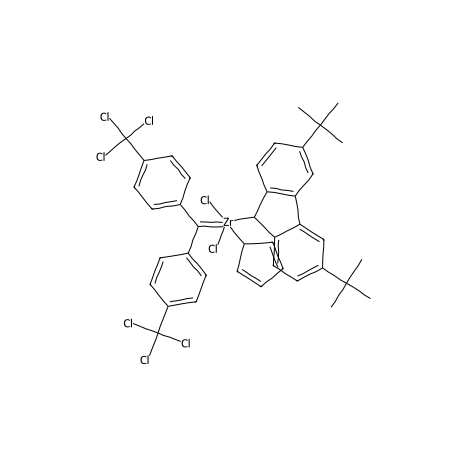 CC(C)(C)c1ccc2c(c1)-c1cc(C(C)(C)C)ccc1[CH]2[Zr]([Cl])([Cl])(=[C](c1ccc(C(Cl)(Cl)Cl)cc1)c1ccc(C(Cl)(Cl)Cl)cc1)[CH]1C=CC=C1